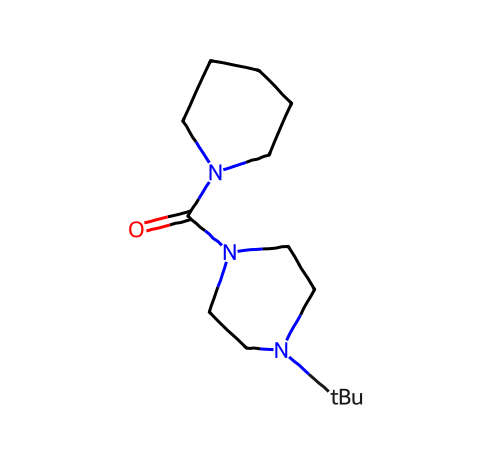 CC(C)(C)N1CCN(C(=O)N2CCCCC2)CC1